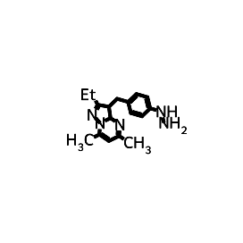 CCC1=NN2C(C)=CC(C)=NC2C1Cc1ccc(NN)cc1